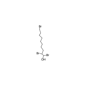 OC(Br)C(Br)CCCCCCCCBr